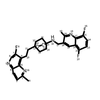 Cc1ccc2ncc(F)c(CCC34CCC(NCc5cc6c(F)ccc(F)c6nc5C)(CC3)CO4)c2n1